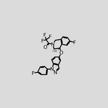 C[C@H]1[C@H](Oc2ccc3c(cnn3-c3ccc(F)cc3)c2)c2cc(F)ccc2CN1C(=O)C(F)(F)F